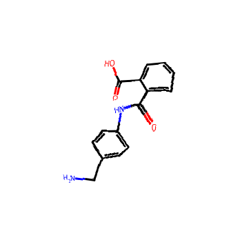 NCc1ccc(NC(=O)c2ccccc2C(=O)O)cc1